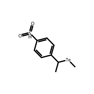 C[Te]C(C)c1ccc([SH](=O)=O)cc1